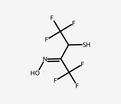 O/N=C(/C(S)C(F)(F)F)C(F)(F)F